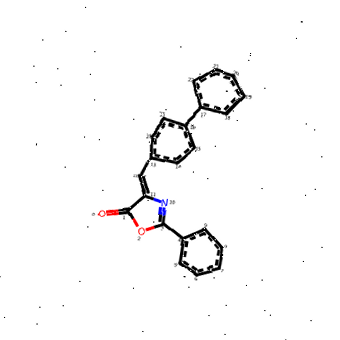 O=C1OC(c2ccccc2)=NC1=Cc1ccc(-c2ccccc2)cc1